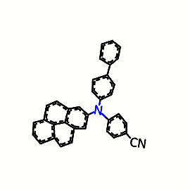 N#Cc1ccc(N(c2ccc(-c3ccccc3)cc2)c2cc3ccc4cccc5ccc(c2)c3c45)cc1